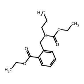 CCCN(Cc1ccccc1C(=O)OCC)C(=O)OCC